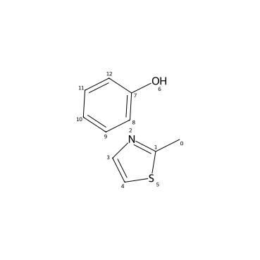 Cc1nccs1.Oc1ccccc1